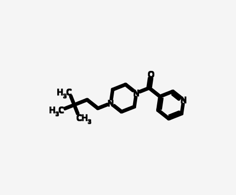 CC(C)(C)CCN1CCN(C(=O)c2cccnc2)CC1